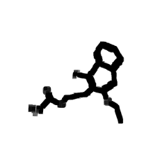 CCOc1cc2ccccc2c(F)c1CCOC(N)=O